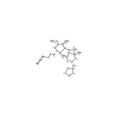 [N-]=[N+]=NCCO[C@@H]1OC(C(=O)O)[C@@H](O)C(O[C@H]2OC[C@@H](OC3CCCC3)CC2(O)O)C1O